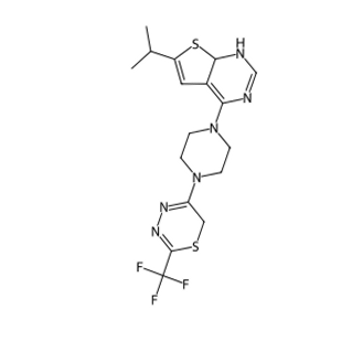 CC(C)C1=CC2=C(N3CCN(C4=NN=C(C(F)(F)F)SC4)CC3)N=CNC2S1